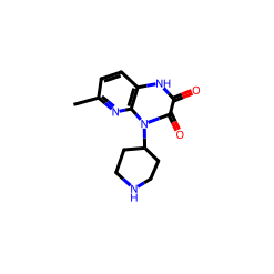 Cc1ccc2[nH]c(=O)c(=O)n(C3CCNCC3)c2n1